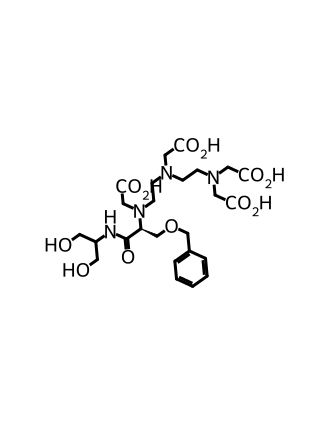 O=C(O)CN(CCN(CC(=O)O)CC(=O)O)CCN(CC(=O)O)[C@@H](COCc1ccccc1)C(=O)NC(CO)CO